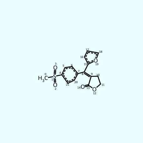 CS(=O)(=O)c1ccc(C(=C2CCOC2=O)c2ccco2)cc1